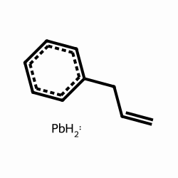 C=CCc1ccccc1.[PbH2]